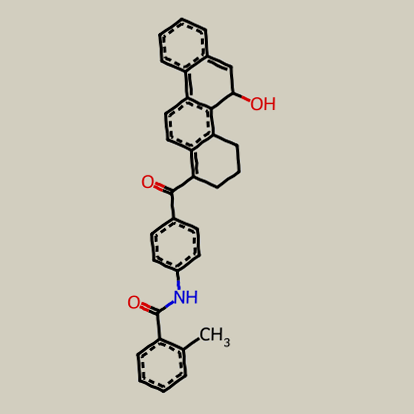 Cc1ccccc1C(=O)Nc1ccc(C(=O)C2=c3ccc4c(c3CCC2)C(O)C=c2ccccc2=4)cc1